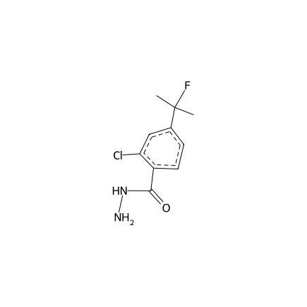 CC(C)(F)c1ccc(C(=O)NN)c(Cl)c1